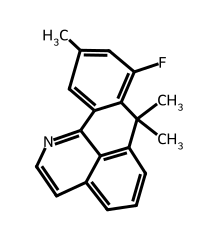 Cc1cc(F)c2c(c1)-c1nccc3cccc(c13)C2(C)C